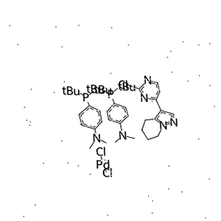 CN(C)c1ccc(P(C(C)(C)C)C(C)(C)C)cc1.CN(C)c1ccc(P(C(C)(C)C)C(C)(C)C)cc1.Clc1nccc(-c2cnn3c2CCCC3)n1.[Cl][Pd][Cl]